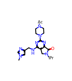 CC(=O)N1CCN(c2nc(NCc3cn(C)cn3)c3c(n2)C(=O)N(C(C)C)C3)CC1